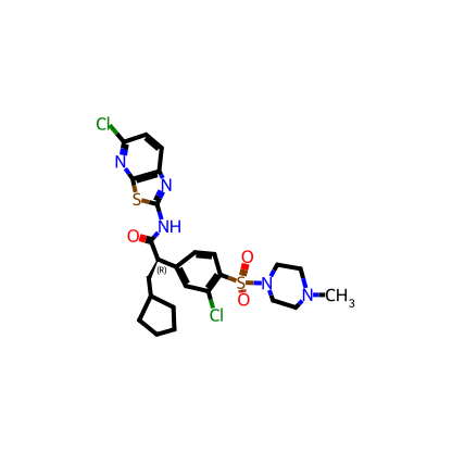 CN1CCN(S(=O)(=O)c2ccc([C@@H](CC3CCCC3)C(=O)Nc3nc4ccc(Cl)nc4s3)cc2Cl)CC1